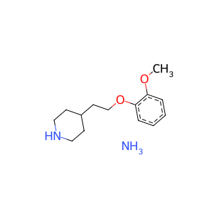 COc1ccccc1OCCC1CCNCC1.N